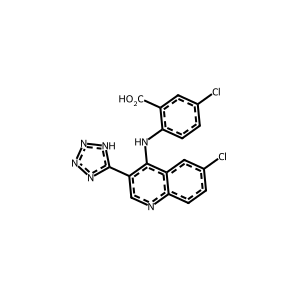 O=C(O)c1cc(Cl)ccc1Nc1c(-c2nnn[nH]2)cnc2ccc(Cl)cc12